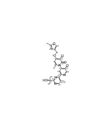 Cc1nc(COc2cc(C)n(-c3cc(-c4nc(C(C)(C)O)ncc4C)ncc3Cl)c(=O)c2Cl)co1